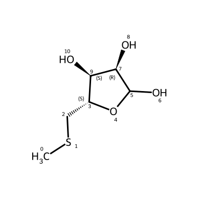 CSC[C@H]1OC(O)[C@H](O)[C@@H]1O